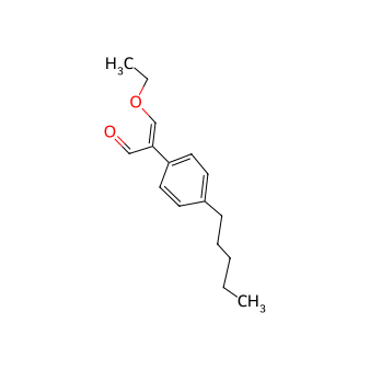 CCCCCc1ccc(C(C=O)=COCC)cc1